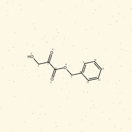 O=C(CO)C(=O)OCc1ccccc1